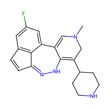 CN1C=C2C(=C(C3CCNCC3)C1)NN=C1C=Cc3cc(F)cc2c31